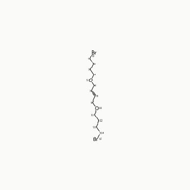 BrCCCCOCC=CCOCCCCBr